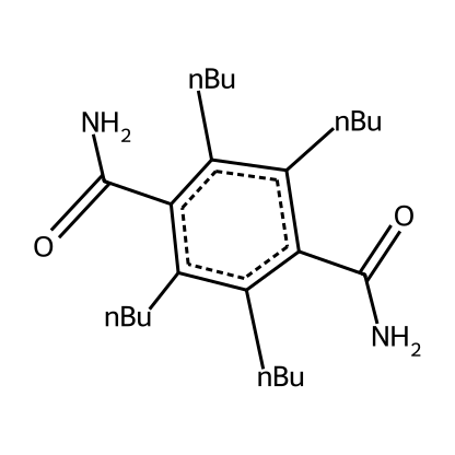 CCCCc1c(CCCC)c(C(N)=O)c(CCCC)c(CCCC)c1C(N)=O